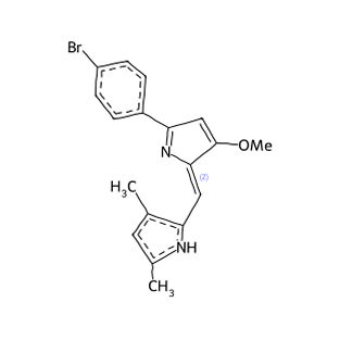 COC1=CC(c2ccc(Br)cc2)=N/C1=C\c1[nH]c(C)cc1C